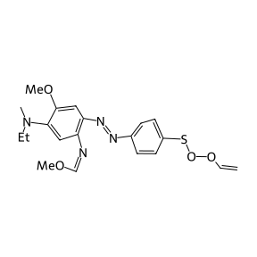 C=COOSc1ccc(N=Nc2cc(OC)c(N(C)CC)cc2/N=C\OC)cc1